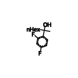 CCCCCCC(C)(O)c1ccc(F)cc1F